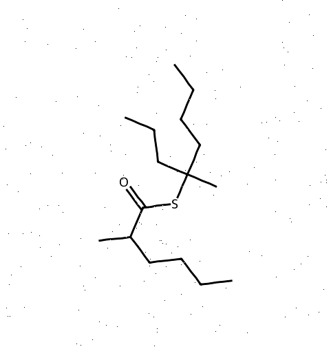 CCCCC(C)C(=O)SC(C)(CCC)CCCC